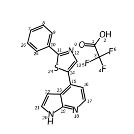 O=C(O)C(F)(F)F.c1ccc(-c2ncc(-c3ccnc4[nH]ccc34)s2)cc1